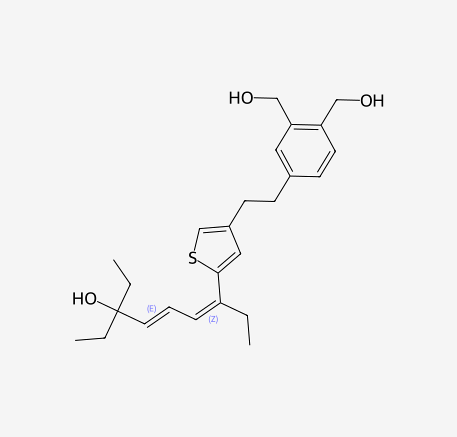 CC/C(=C/C=C/C(O)(CC)CC)c1cc(CCc2ccc(CO)c(CO)c2)cs1